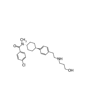 CN(C(=O)c1ccc(Cl)cc1)[C@H]1CC[C@H](c2ccc(CCNCCCO)cc2)CC1